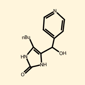 CCCCc1[nH]c(=O)[nH]c1C(O)c1ccncc1